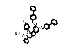 CCOC(=O)CN(Cc1sc2cc(OCc3ccc(-c4ccccc4)cc3)c(OCc3ccc(-c4ccccc4)cc3)cc2c1Oc1ccc(Cl)cc1)c1ccccc1